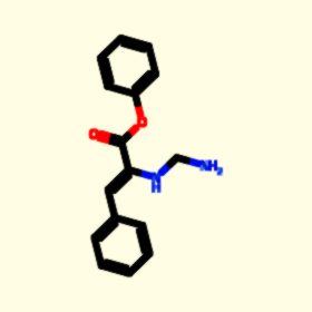 NCNC(=Cc1ccccc1)C(=O)Oc1ccccc1